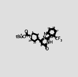 CC(C)(C)OC(=O)N1CCC(c2cc(=O)[nH]c3c4c(C(F)(F)F)cccc4nn23)CC1